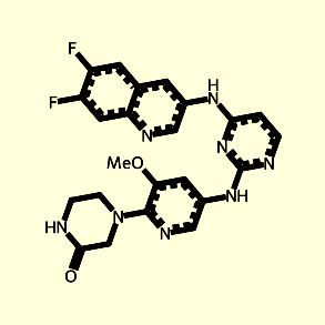 COc1cc(Nc2nccc(Nc3cnc4cc(F)c(F)cc4c3)n2)cnc1N1CCNC(=O)C1